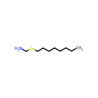 CCCCCCCCSCN